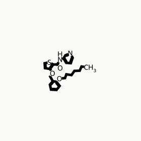 CCCCCCCOc1ccccc1COc1ccsc1C(=O)Nc1cccnc1